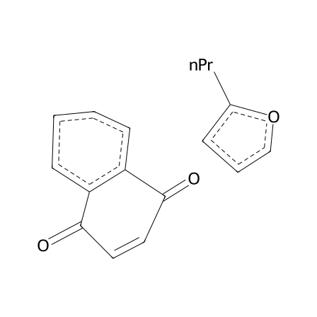 CCCc1ccco1.O=C1C=CC(=O)c2ccccc21